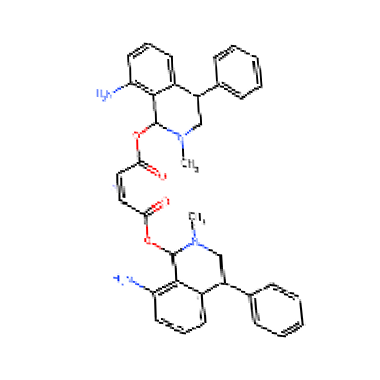 CN1CC(c2ccccc2)c2cccc(N)c2C1OC(=O)/C=C\C(=O)OC1c2c(N)cccc2C(c2ccccc2)CN1C